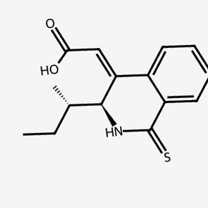 CC[C@H](C)[C@@H]1NC(=S)c2ccccc2/C1=C/C(=O)O